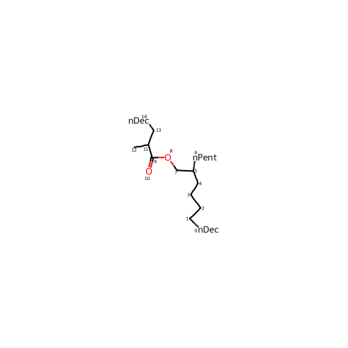 CCCCCCCCCCCCCCC(CCCCC)COC(=O)C(C)CCCCCCCCCCC